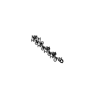 NCC(=O)NCC(=O)NCC(=O)NCC(=O)NCC(=O)NCC(=O)NCC(=O)NCC(=O)NCc1ccccc1